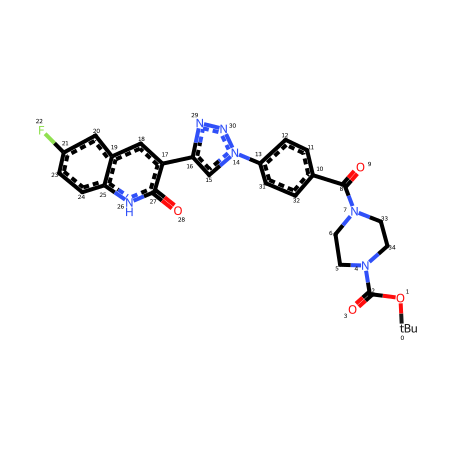 CC(C)(C)OC(=O)N1CCN(C(=O)c2ccc(-n3cc(-c4cc5cc(F)ccc5[nH]c4=O)nn3)cc2)CC1